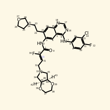 O=C(Nc1cc2c(Nc3ccc(F)c(Cl)c3)ncnc2cc1CC[C@H]1CCOC1)/C(F)=C/CN1C[C@@H]2OCCO[C@@H]2C1